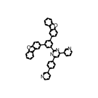 c1cncc(-c2ccc(-c3cc(-c4cccnc4)nc(-c4cc(-c5ccc6oc7ccccc7c6c5)cc(-c5ccc6oc7ccccc7c6c5)c4)n3)cc2)c1